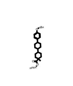 CCCCCCOC(=O)C1(C)CCC(C2CCC(c3ccc(OCCCC)cc3)CC2)CC1